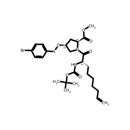 C=CCCCCC[C@H](NC(=O)OC(C)(C)C)C(=O)N1C[C@@H](OSc2ccc(Br)cc2)C[C@H]1C(=O)OC